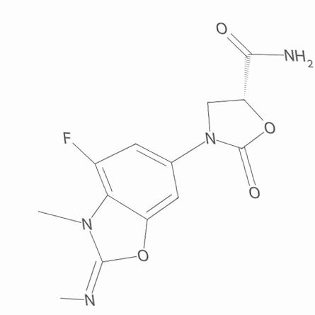 CN=c1oc2cc(N3C[C@H](C(N)=O)OC3=O)cc(F)c2n1C